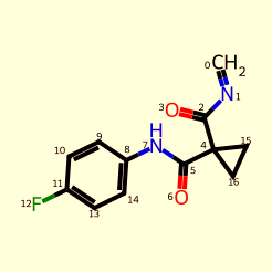 C=NC(=O)C1(C(=O)Nc2ccc(F)cc2)CC1